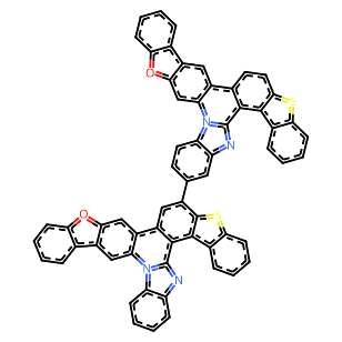 c1ccc2c(c1)nc1c3c(cc(-c4ccc5c(c4)nc4c6c(ccc7sc8ccccc8c76)c6cc7c(cc6n54)oc4ccccc47)c4sc5ccccc5c43)c3cc4oc5ccccc5c4cc3n21